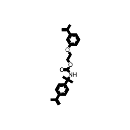 C=C(C)c1ccc(C(C)(C)NC(=O)OCCOc2cccc(C(=C)C)c2)cc1